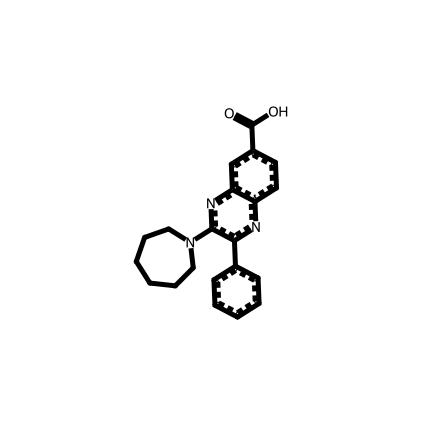 O=C(O)c1ccc2nc(-c3ccccc3)c(N3CCCCCC3)nc2c1